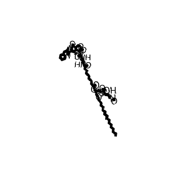 CCCCCCCCCCCCCCCCCOCC(COP(=O)(O)CCCN=O)OC(=O)CCCCCCCC(=O)NCCNC(=O)O[C@]1(CC)C(=O)OCc2c1cc1n(c2=O)Cc2cc3ccccc3nc2-1